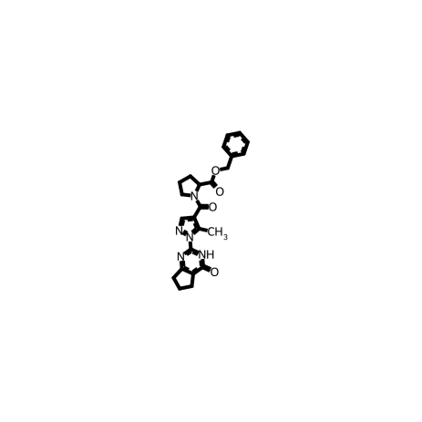 Cc1c(C(=O)N2CCCC2C(=O)OCc2ccccc2)cnn1-c1nc2c(c(=O)[nH]1)CCC2